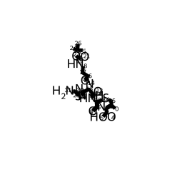 CC1=C(C(=O)O)N2C(=O)C(NC(=O)/C(=N/OCCCNC(=O)OC(C)(C)C)c3nsc(N)n3)[C@H]2SC1